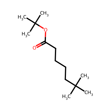 CC(C)(C)CCCCC(=O)OC(C)(C)C